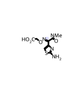 CNC(=O)/C(=N/OCC(=O)O)c1csc(N)n1